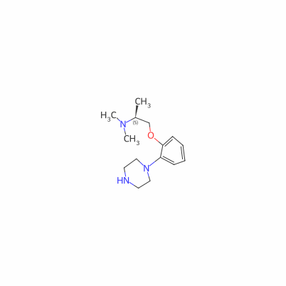 C[C@@H](COc1ccccc1N1CCNCC1)N(C)C